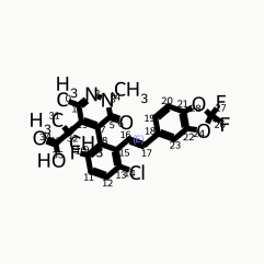 Cc1nn(C)c(=O)c(-c2c(F)ccc(Cl)c2/C=C/c2ccc3c(c2)OC(F)(F)O3)c1C(C)(C)C(=O)O